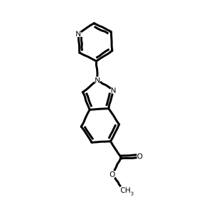 COC(=O)c1ccc2cn(-c3cccnc3)nc2c1